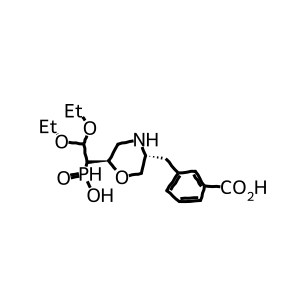 CCOC(OCC)C([C@H]1CN[C@H](Cc2cccc(C(=O)O)c2)CO1)[PH](=O)O